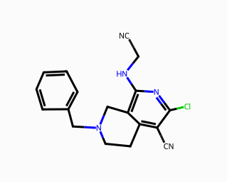 N#CCNc1nc(Cl)c(C#N)c2c1CN(Cc1ccccc1)CC2